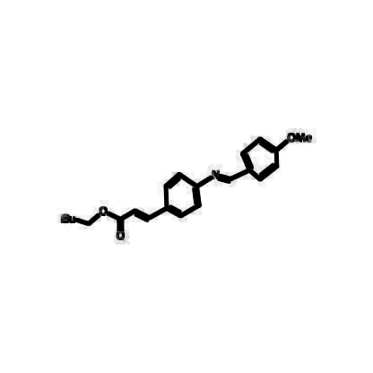 CCC(C)COC(=O)/C=C/c1ccc(/N=C/c2ccc(OC)cc2)cc1